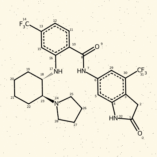 O=C1Cc2c(cc(NC(=O)c3ccc(C(F)(F)F)cc3N[C@H]3CCCC[C@@H]3N3CCCC3)cc2C(F)(F)F)N1